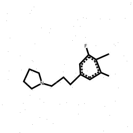 Cc1cc(CCCN2CCCC2)cc(F)c1C